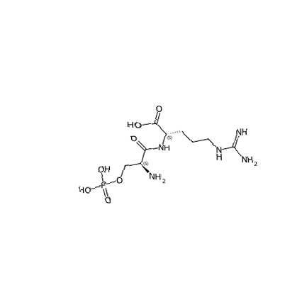 N=C(N)NCCC[C@H](NC(=O)[C@@H](N)COP(=O)(O)O)C(=O)O